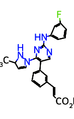 O=C(O)/C=C/c1cccc(-c2cnc(Nc3cccc(F)c3)nc2N2C=CC(C(F)(F)F)N2)c1